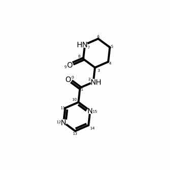 O=C(NC1CCCNC1=O)c1cnccn1